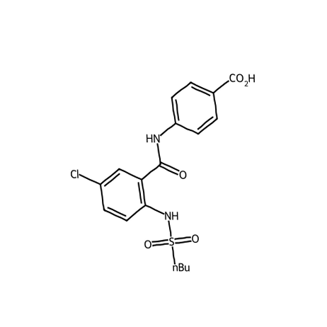 CCCCS(=O)(=O)Nc1ccc(Cl)cc1C(=O)Nc1ccc(C(=O)O)cc1